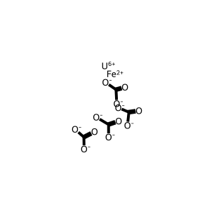 O=C([O-])[O-].O=C([O-])[O-].O=C([O-])[O-].O=C([O-])[O-].[Fe+2].[U+6]